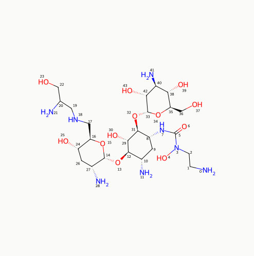 NCCN(O)C(=O)N[C@@H]1C[C@H](N)[C@@H](O[C@H]2O[C@H](CNCC(N)CO)[C@@H](O)C[C@H]2N)[C@H](O)[C@H]1O[C@H]1O[C@H](CO)[C@@H](O)[C@H](N)[C@H]1O